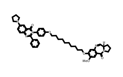 COc1cc2c(cc1OCCCCCCCCCCOc1ccc(-n3c(-c4ccccc4)nc4ccc(N5CCCC5)cc4c3=O)cc1)N=C[C@@H]1CCCN1C2=O